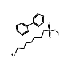 CCCCCCCCS(=O)(=O)OF.c1ccc(-c2ccccc2)cc1